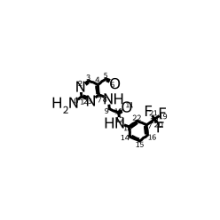 Nc1ncc(C=O)c(NCC(=O)Nc2cccc(C(F)(F)F)c2)n1